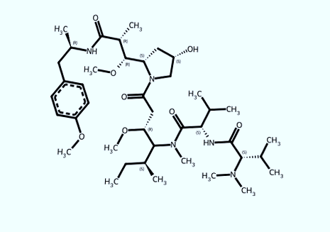 CC[C@H](C)C([C@@H](CC(=O)N1C[C@@H](O)C[C@H]1[C@H](OC)[C@@H](C)C(=O)N[C@H](C)Cc1ccc(OC)cc1)OC)N(C)C(=O)[C@@H](NC(=O)[C@H](C(C)C)N(C)C)C(C)C